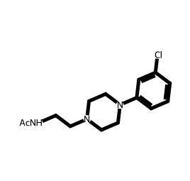 CC(=O)NCCN1CCN(c2cccc(Cl)c2)CC1